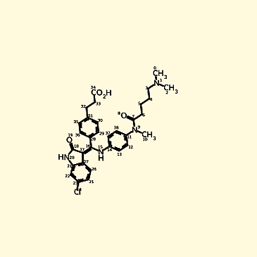 CN(C)CCCCC(=O)N(C)c1ccc(NC(=C2C(=O)Nc3cc(Cl)ccc32)c2ccc(CCC(=O)O)cc2)cc1